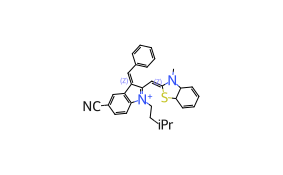 CC(C)CC[N+]1=C(/C=C2\SC3C=CC=CC3N2C)/C(=C\c2ccccc2)c2cc(C#N)ccc21